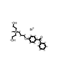 C[N+](CCO)(CCO)CCCOc1ccc(C(=O)c2ccccc2)cc1.[Br-]